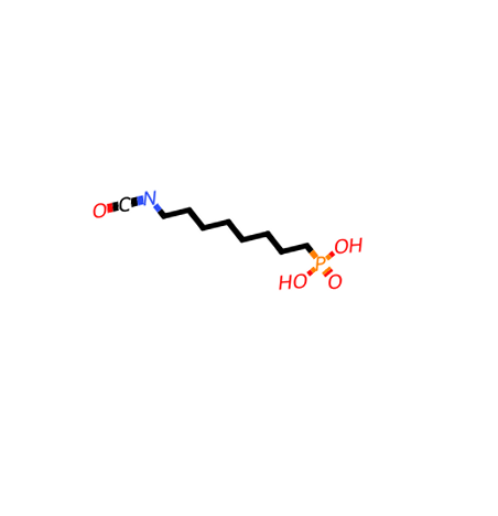 O=C=NCCCCCCCCP(=O)(O)O